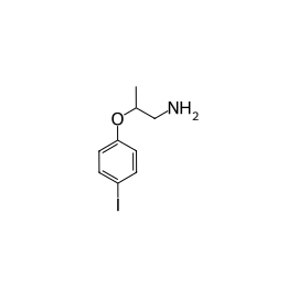 CC(CN)Oc1ccc(I)cc1